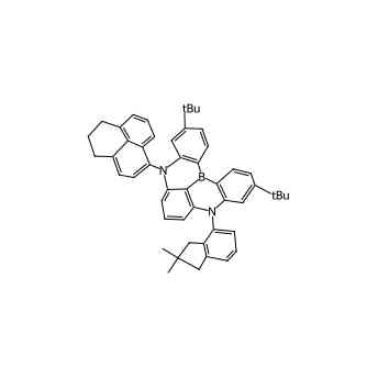 CC1(C)Cc2cccc(N3c4cc(C(C)(C)C)ccc4B4c5ccc(C(C)(C)C)cc5N(c5ccc6c7c(cccc57)CCC6)c5cccc3c54)c2C1